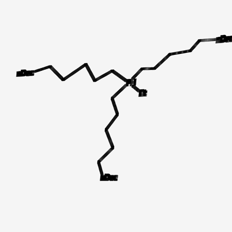 CCCCCCCCCCCCCCC[PH](CC)(CCCCCCCCCCCCCCC)CCCCCCCCCCCCCCC